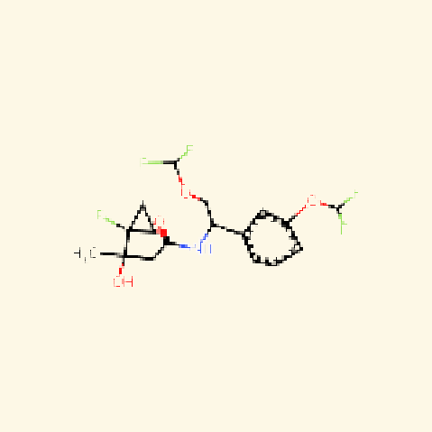 CC(O)(CC(=O)NC(COC(F)F)c1cccc(OC(F)F)c1)C1(F)CC1